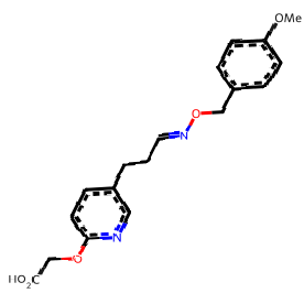 COc1ccc(CON=CCCc2ccc(OCC(=O)O)nc2)cc1